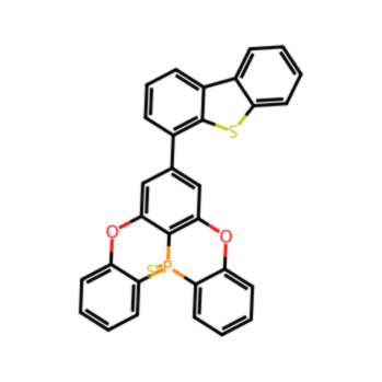 S=P12c3ccccc3Oc3cc(-c4cccc5c4sc4ccccc45)cc(c31)Oc1ccccc12